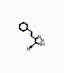 N#Cc1[nH]nnc1/C=C/c1ccccc1